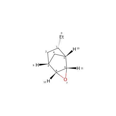 CC[C@H]1C[C@@H]2C[C@H]1[C@@H]1O[C@H]21